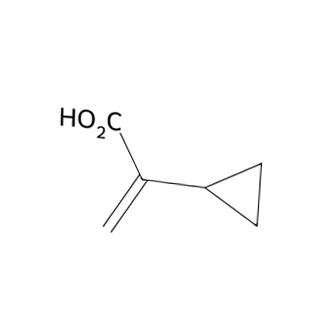 C=C(C(=O)O)C1CC1